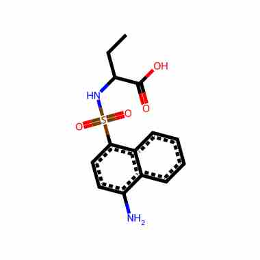 CCC(NS(=O)(=O)c1ccc(N)c2ccccc12)C(=O)O